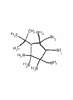 BC1C(B)(B)N(C(C)(C)C)C(B)(B)C1(B)B